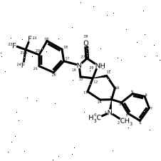 CN(C)[C@]1(c2ccccc2)CC[C@@]2(CC1)CN(c1ccc(C(F)(F)F)cc1)C(=O)N2